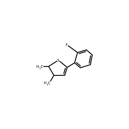 CC1C=C(c2ccccc2F)SC1C